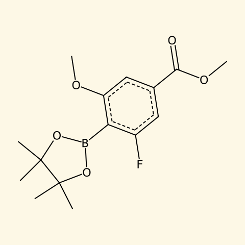 COC(=O)c1cc(F)c(B2OC(C)(C)C(C)(C)O2)c(OC)c1